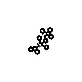 c1ccc(-c2nc(-c3cc4ccccc4c4ccccc34)nc(-c3ccccc3)c2-c2cccc(-c3nc4ccccc4c4c5ccccc5c5ccccc5c34)c2)cc1